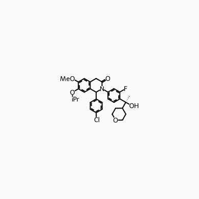 COc1cc2c(cc1OC(C)C)C(c1ccc(Cl)cc1)N(c1ccc([C@@](C)(O)C3CCOCC3)c(F)c1)C(=O)C2